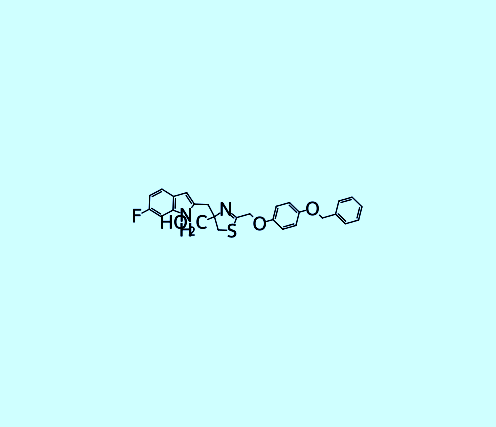 O=C(O)C1(Cc2cc3ccc(F)cc3[nH]2)CSC(COc2ccc(OCc3ccccc3)cc2)=N1